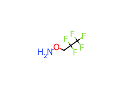 NOCC(F)(F)C(F)(F)F